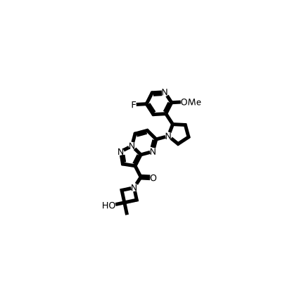 COc1ncc(F)cc1C1CCCN1c1ccn2ncc(C(=O)N3CC(C)(O)C3)c2n1